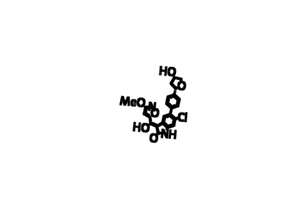 COc1cc(/C(O)=C2/C(=O)Nc3cc(Cl)c(-c4ccc([C@H]5C[C@H](O)CO5)cc4)cc32)on1